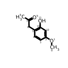 COc1ccc(CC(C)=O)c(O)c1